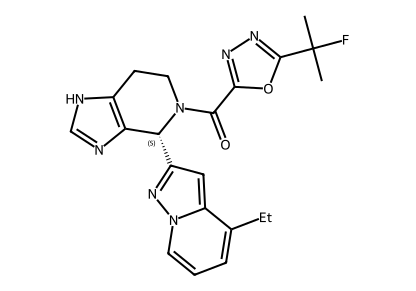 CCc1cccn2nc([C@@H]3c4nc[nH]c4CCN3C(=O)c3nnc(C(C)(C)F)o3)cc12